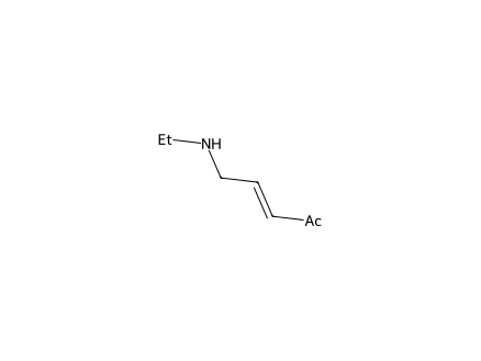 CCNC/C=C/C(C)=O